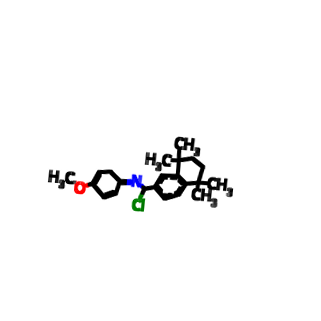 COC1=CCC(=NC(Cl)c2ccc3c(c2)C(C)(C)CCC3(C)C)C=C1